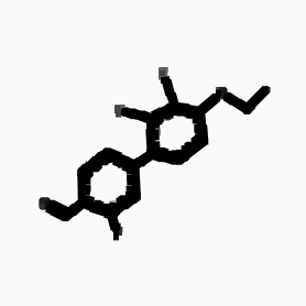 CCOc1ccc(-c2ccc(C=O)c(F)c2)c(F)c1F